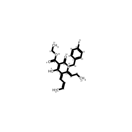 C\C=C/C=c1/c(O)c(C(=O)OCC)c(=O)n(Cc2ccc(F)cc2)/c1=C\CC